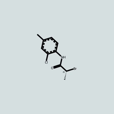 Cc1ccc(NC(=O)[C@@H](C)Br)c(Cl)c1